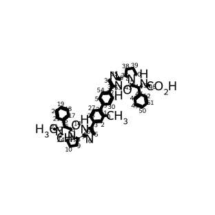 Cc1cc(-c2cnc([C@@H]3CCCN3C(=O)[C@@H](c3ccccc3)N(C)C)[nH]2)ccc1-c1ccc(-c2cnc([C@@H]3CCCN3C(=O)[C@H](NC(=O)O)c3ccccc3)[nH]2)cc1